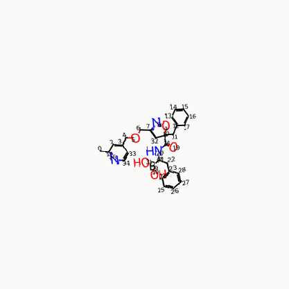 Cc1cc(COCC2=NOC(Cc3ccccc3)(C(=O)N[C@@H](Cc3ccccc3)B(O)O)C2)ccn1